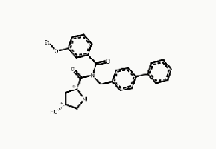 CCOc1cccc(C(=O)N(Cc2ccc(-c3ccccc3)cc2)C(=O)[C@@H]2C[C@@H](O)CN2)c1